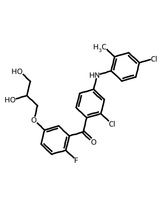 Cc1cc(Cl)ccc1Nc1ccc(C(=O)c2cc(OCC(O)CO)ccc2F)c(Cl)c1